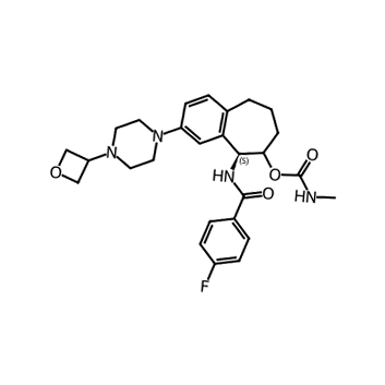 CNC(=O)OC1CCCc2ccc(N3CCN(C4COC4)CC3)cc2[C@@H]1NC(=O)c1ccc(F)cc1